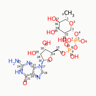 C[C@@H]1O[C@H](OP(=O)(O)OP(=O)(O)OC[C@H]2O[C@@H](n3cnc4c(=O)[nH]c(N)nc43)[C@H](O)[C@@H]2O)[C@H](O)[C@H](O)[C@H]1O